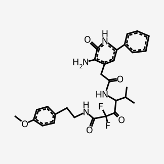 COc1ccc(CCNC(=O)C(F)(F)C(=O)C(NC(=O)Cc2cc(-c3ccccc3)[nH]c(=O)c2N)C(C)C)cc1